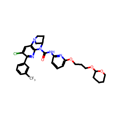 O=C(Nc1cccc(OCCCOC2CCCCO2)n1)N1c2nc(-c3cccc(C(F)(F)F)c3)c(Cl)cc2N2CCC1C2